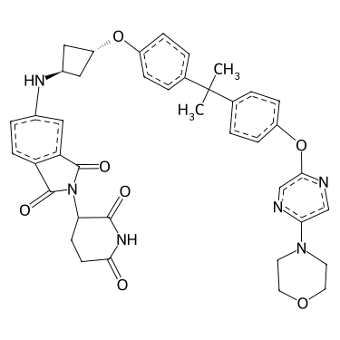 CC(C)(c1ccc(Oc2cnc(N3CCOCC3)cn2)cc1)c1ccc(O[C@H]2C[C@H](Nc3ccc4c(c3)C(=O)N(C3CCC(=O)NC3=O)C4=O)C2)cc1